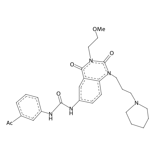 COCCn1c(=O)c2cc(NC(=O)Nc3cccc(C(C)=O)c3)ccc2n(CCCN2CCCCC2)c1=O